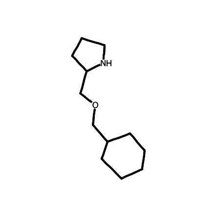 C1CCC(COCC2CCCN2)CC1